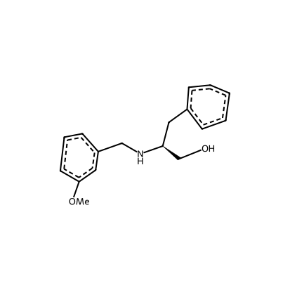 COc1cccc(CN[C@H](CO)Cc2ccccc2)c1